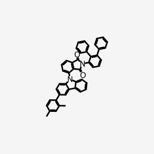 Cc1ccc(-c2ccc3c(c2)c2ccccc2n3-c2cccc3c2C(=O)N(c2cccc(-c4ccccc4)c2-c2ccccc2)C3=O)c(C)c1